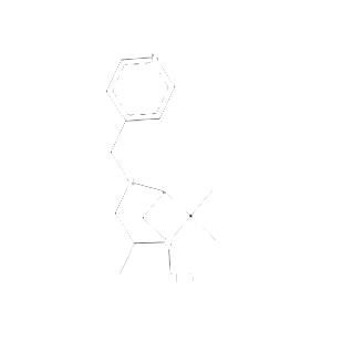 CC1CN(Cc2ccncc2)C2C[N+]1([C]=O)C2(C)C